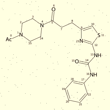 CC(=O)N1CCN(C(=O)CCc2csc(NC(=O)Nc3ccccc3)n2)CC1